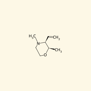 C=C[C@H]1[C@@H](C)OCCN1C